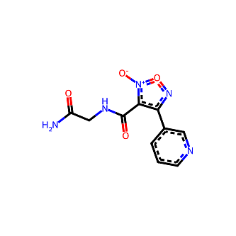 NC(=O)CNC(=O)c1c(-c2cccnc2)no[n+]1[O-]